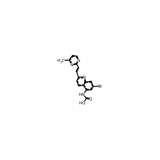 Cc1ccnc(C=Cc2ccc3c(NC(=O)O)cc(Br)cc3n2)n1